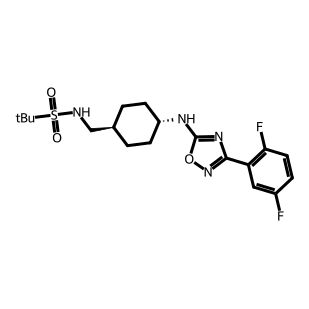 CC(C)(C)S(=O)(=O)NC[C@H]1CC[C@H](Nc2nc(-c3cc(F)ccc3F)no2)CC1